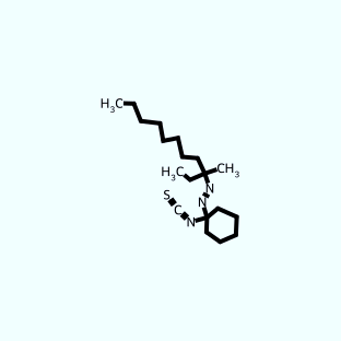 CCCCCCCCC(C)(CC)N=NC1(N=C=S)CCCCC1